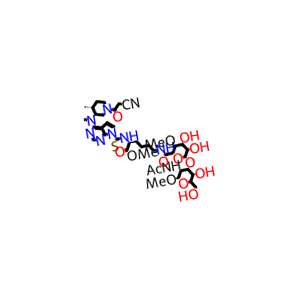 COC(=O)[C@H](CCCCNC(=O)C1O[C@@H](O[C@@H]2C(NC(C)=O)[C@H](OC)OC(CO)[C@H]2O)C(O)[C@@H](O)[C@@H]1OC)NC(=S)n1ccc2c(N(C)[C@H]3CN(C(=O)CC#N)CC[C@H]3C)ncnc21